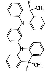 CC1(F)c2ccccc2N(c2cccc(N3c4ccccc4C(C)(F)c4ccccc43)c2)c2ccccc21